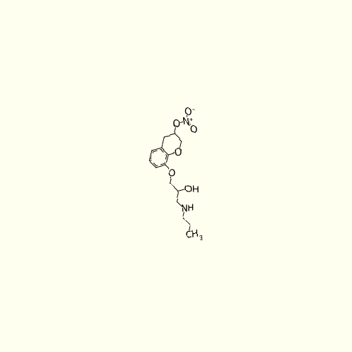 CCCNCC(O)COc1cccc2c1OCC(O[N+](=O)[O-])C2